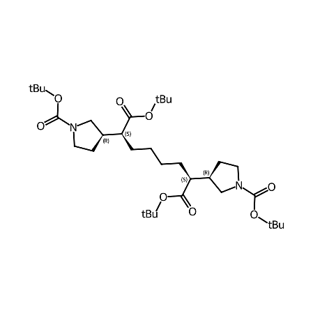 CC(C)(C)OC(=O)[C@@H](CCCC[C@H](C(=O)OC(C)(C)C)[C@H]1CCN(C(=O)OC(C)(C)C)C1)[C@H]1CCN(C(=O)OC(C)(C)C)C1